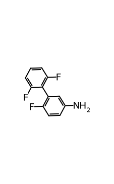 Nc1ccc(F)c(-c2c(F)cccc2F)c1